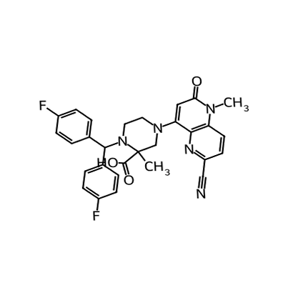 Cn1c(=O)cc(N2CCN(C(c3ccc(F)cc3)c3ccc(F)cc3)C(C)(C(=O)O)C2)c2nc(C#N)ccc21